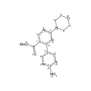 COC(=O)c1cnc(N2CCOCC2)nc1-c1cnc(N)nc1